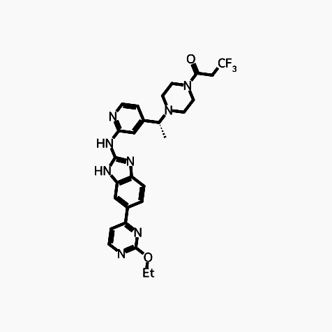 CCOc1nccc(-c2ccc3nc(Nc4cc([C@@H](C)N5CCN(C(=O)CC(F)(F)F)CC5)ccn4)[nH]c3c2)n1